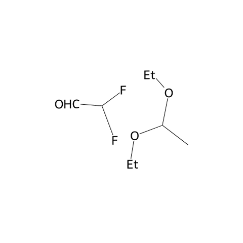 CCOC(C)OCC.O=CC(F)F